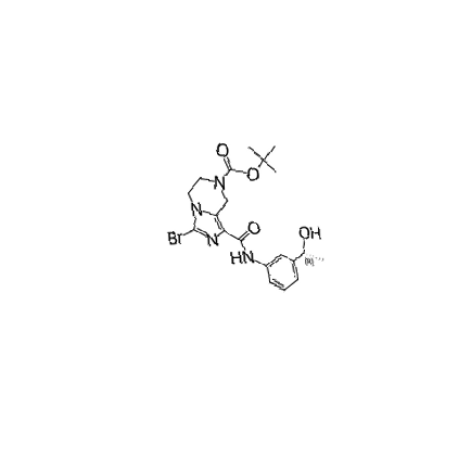 C[C@@H](O)c1cccc(NC(=O)c2nc(Br)n3c2CN(C(=O)OC(C)(C)C)CC3)c1